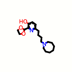 Oc1ccc(CCCCN2CCCCCCC2)nc1C1OCCO1